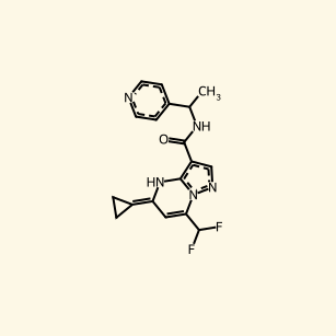 CC(NC(=O)c1cnn2c1NC(=C1CC1)C=C2C(F)F)c1ccncc1